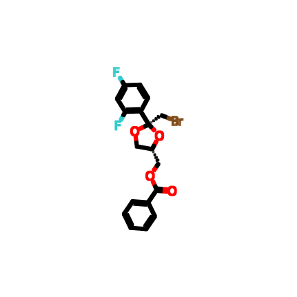 O=C(OC[C@@H]1CO[C@@](CBr)(c2ccc(F)cc2F)O1)c1ccccc1